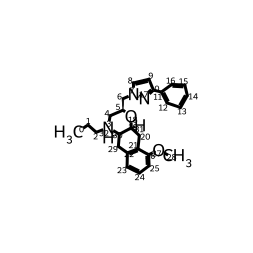 CCCN1C[C@@H](Cn2ccc(-c3ccccc3)n2)O[C@@H]2Cc3c(cccc3OC)C[C@H]21